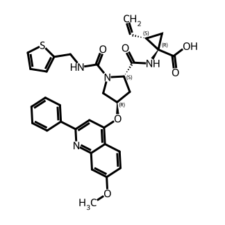 C=C[C@@H]1C[C@]1(NC(=O)[C@@H]1C[C@@H](Oc2cc(-c3ccccc3)nc3cc(OC)ccc23)CN1C(=O)NCc1cccs1)C(=O)O